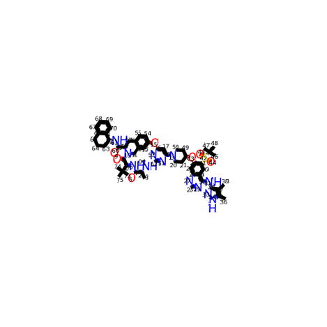 CNC(C)C(=O)NC(C(=O)N1Cc2cc(Oc3cc(N4CCC(Oc5cc6ncnc(Nc7n[nH]c(C)c7C)c6cc5S(=O)(=O)C(C)(C)C)CC4)ncn3)ccc2CC1C(=O)N[C@@H]1CCCc2ccccc21)C(C)(C)C